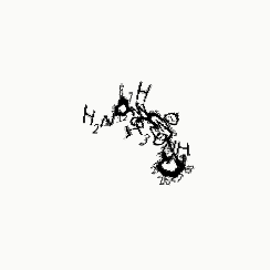 Cc1c2c(=O)n(-c3cccc(N)c3)[nH]c2cc(=O)n1CC(=O)NCc1ccccn1